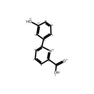 O=C(O)c1cccc(-c2cccc(O)c2)n1